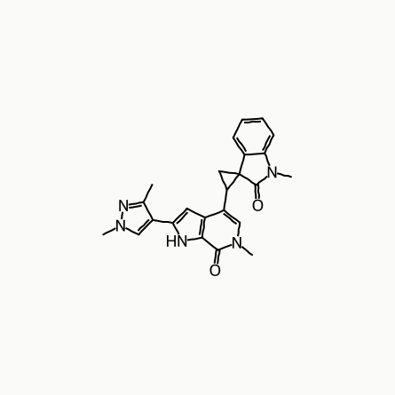 Cc1nn(C)cc1-c1cc2c(C3CC34C(=O)N(C)c3ccccc34)cn(C)c(=O)c2[nH]1